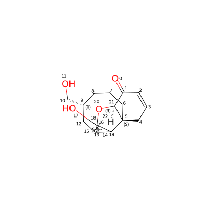 O=C1C=CC[C@@]23CCC[C@@H](CO)Cc4ccc(O)c(c42)O[C@@H]13